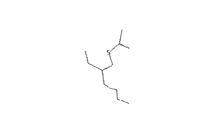 CCCCC(CC)CSC(C)C